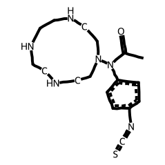 CC(=O)N(c1ccc(N=C=S)cc1)N1CCNCCNCCNCC1